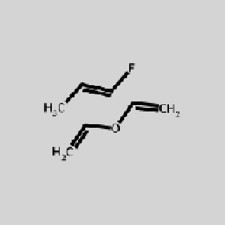 C=COC=C.CC=CF